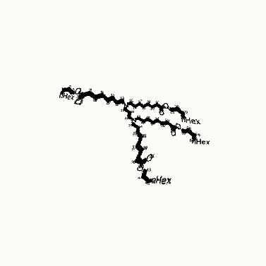 CCCCCC/C=C\COC(=O)CCCCCCCN(CCCCCCCC(=O)OC/C=C\CCCCCC)CCCN(CCCCCCCC(=O)OC/C=C\CCCCCC)CCCCCCCC(=O)OC/C=C\CCCCCC